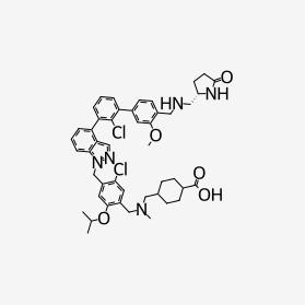 COc1cc(-c2cccc(-c3cccc4c3cnn4Cc3cc(OC(C)C)c(CN(C)CC4CCC(C(=O)O)CC4)cc3Cl)c2Cl)ccc1CNC[C@@H]1CCC(=O)N1